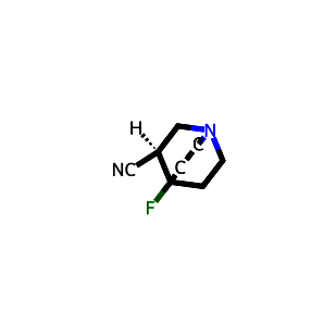 N#C[C@H]1CN2CCC1(F)CC2